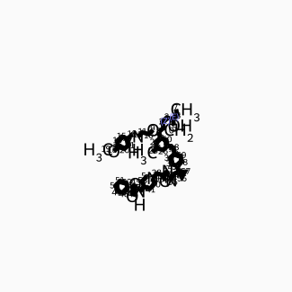 C=C(/C=C\C(O)=C/C)C(OCCNCc1ccc(OC)cc1)C1=CC(C)CC(Cc2ccc(C3(c4noc(CN5CCC(NS(=O)(=O)c6ccccc6)CC5)n4)CC3)cc2)=C1